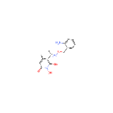 C/C(=N\OCc1ccccc1N)c1c(C)cc(=O)n(O)c1O